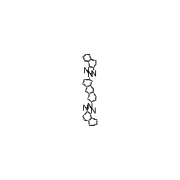 c1ccc2c(c1)ccc1nn(-c3ccc4cc5cc(-n6nc7ccc8ccccc8c7n6)ccc5cc4c3)nc12